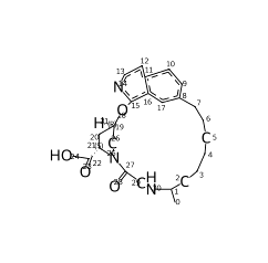 CC1CCCCCCc2ccc3ccnc(c3c2)O[C@@H]2C[C@@H](C(=O)O)N(C2)C(=O)CN1